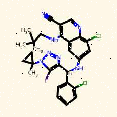 CC(C)(C)CNc1c(C#N)cnc2c(Cl)cc(N[C@@H](c3ccccc3Cl)c3nnn(C4(C)CC4)c3I)cc12